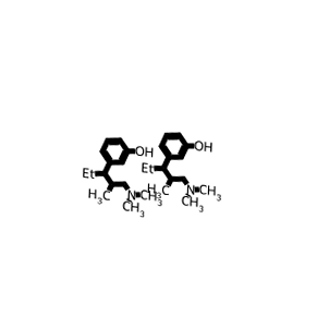 CCC(c1cccc(O)c1)C(C)CN(C)C.CCC(c1cccc(O)c1)C(C)CN(C)C